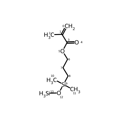 C=C(C)C(=O)OCCC[Si](C)(C)O[SiH3]